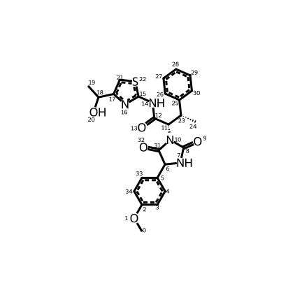 COc1ccc(C2NC(=O)N([C@H](C(=O)Nc3nc(C(C)O)cs3)[C@@H](C)c3ccccc3)C2=O)cc1